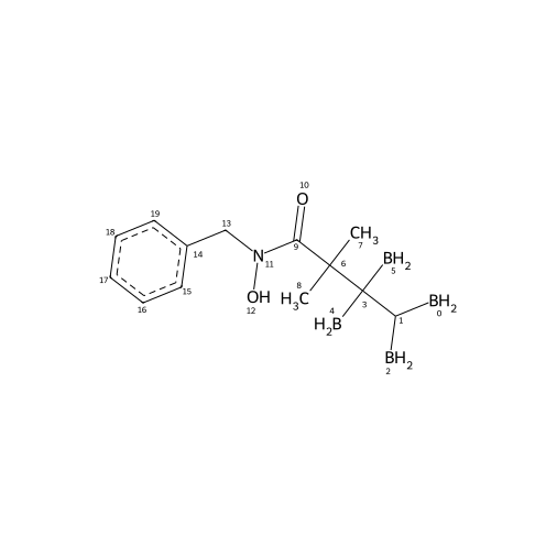 BC(B)C(B)(B)C(C)(C)C(=O)N(O)Cc1ccccc1